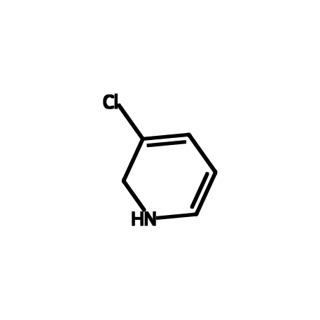 ClC1=CC=CNC1